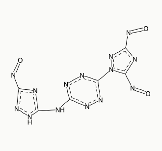 O=Nc1n[nH]c(Nc2nnc(-n3nc(N=O)nc3N=O)nn2)n1